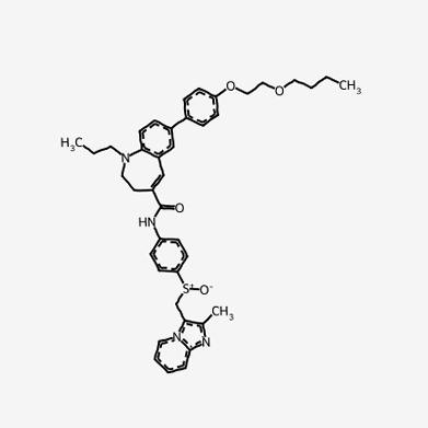 CCCCOCCOc1ccc(-c2ccc3c(c2)C=C(C(=O)Nc2ccc([S+]([O-])Cc4c(C)nc5ccccn45)cc2)CCN3CCC)cc1